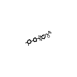 Cc1ccc(-c2ccc(-c3nc4ccn(CC(=O)N(C)C)cc-4n3)cc2)cc1C